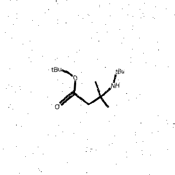 CC(C)(C)NC(C)(C)CC(=O)OC(C)(C)C